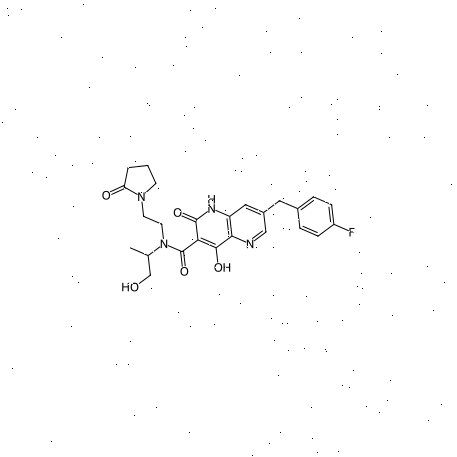 CC(CO)N(CCN1CCCC1=O)C(=O)c1c(O)c2ncc(Cc3ccc(F)cc3)cc2[nH]c1=O